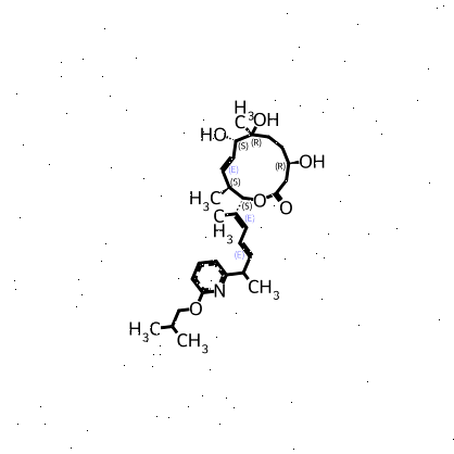 C/C(=C\C=C\C(C)c1cccc(OCC(C)C)n1)[C@H]1OC(=O)C[C@H](O)CC[C@@](C)(O)[C@@H](O)/C=C/[C@@H]1C